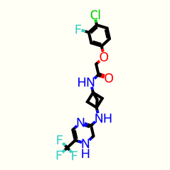 O=C(COc1ccc(Cl)c(F)c1)NC12CC(NC3=NC=C(C(F)(F)F)NC3)(C1)C2